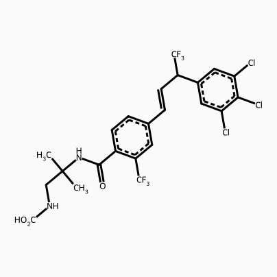 CC(C)(CNC(=O)O)NC(=O)c1ccc(/C=C/C(c2cc(Cl)c(Cl)c(Cl)c2)C(F)(F)F)cc1C(F)(F)F